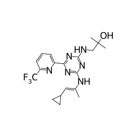 CC(=CC1CC1)Nc1nc(NCC(C)(C)O)nc(-c2cccc(C(F)(F)F)n2)n1